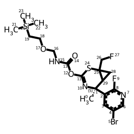 C[C@]1(c2cc(Br)cnc2F)N=C(OC(=O)NCOCC[Si](C)(C)C)SC2(CF)CC21